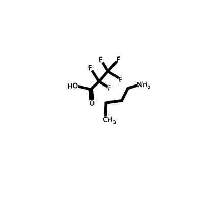 CCCCN.O=C(O)C(F)(F)C(F)(F)F